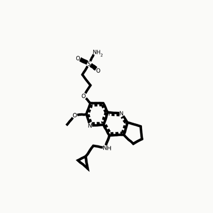 COc1nc2c(NCC3CC3)c3c(nc2cc1OCCS(N)(=O)=O)CCC3